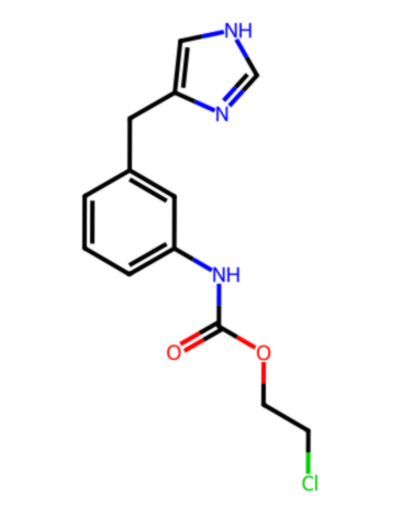 O=C(Nc1cccc(Cc2c[nH]cn2)c1)OCCCl